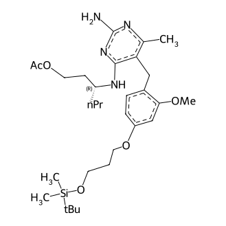 CCC[C@H](CCOC(C)=O)Nc1nc(N)nc(C)c1Cc1ccc(OCCCO[Si](C)(C)C(C)(C)C)cc1OC